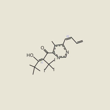 C=C/C=C\c1ncnc(C(=O)/C(=C(\O)C(C)(C)C)C(I)(I)I)c1C